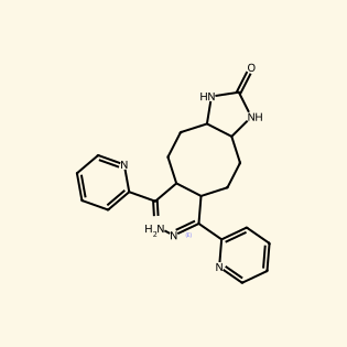 C=C(c1ccccn1)C1CCC2NC(=O)NC2CCC1/C(=N\N)c1ccccn1